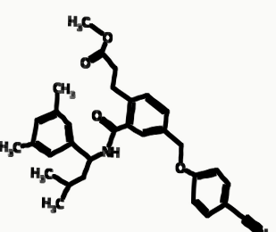 COC(=O)CCc1ccc(COc2ccc(C#N)cc2)cc1C(=O)NC(CC(C)C)c1cc(C)cc(C)c1